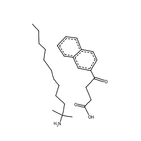 CCCCCCCCCCC(C)(C)N.O=C(O)CCC(=O)c1ccc2ccccc2c1